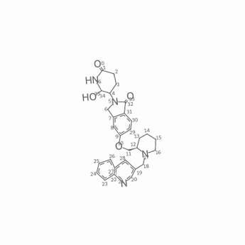 O=C1CCC(N2Cc3cc(OC[C@H]4CCCCN4Cc4cnc5ccccc5c4)ccc3C2=O)C(O)N1